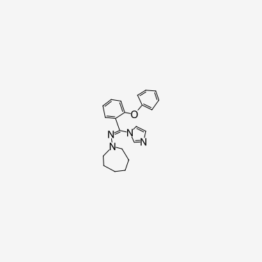 c1ccc(Oc2ccccc2C(=NN2CCCCCC2)n2ccnc2)cc1